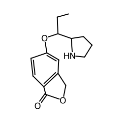 CCC(Oc1ccc2c(c1)COC2=O)C1CCCN1